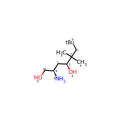 CC(C)(C)CC(C)(C)[C@@H](O)C[C@@H](N)CO